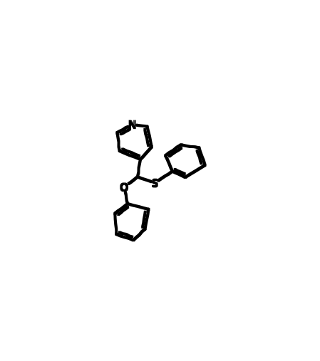 c1ccc(OC(Sc2ccccc2)c2ccncc2)cc1